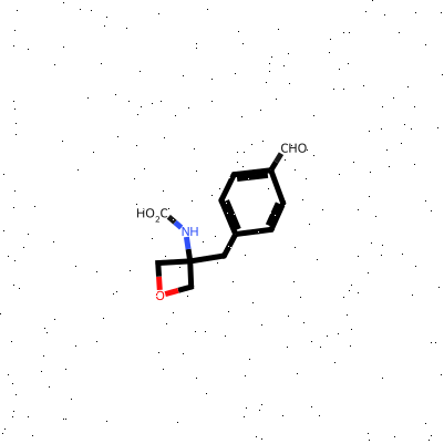 O=Cc1ccc(CC2(NC(=O)O)COC2)cc1